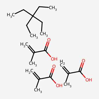 C=C(C)C(=O)O.C=C(C)C(=O)O.C=C(C)C(=O)O.CCC(CC)(CC)CC